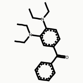 CCN(CC)c1ccc(C(=O)c2ccccc2)cc1N(CC)CC